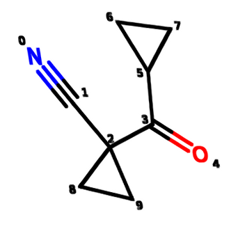 N#CC1(C(=O)C2CC2)CC1